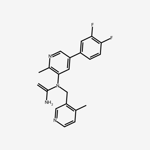 C=C(N)N(Cc1cnccc1C)c1cc(-c2ccc(F)c(F)c2)cnc1C